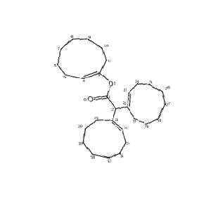 O=C(OC1=CCCCCCCC1)C(C1=CCCCCCCC1)C1=CCCCCCCC1